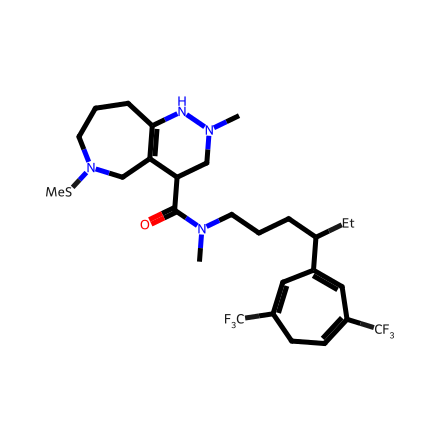 CCC(CCCN(C)C(=O)C1CN(C)NC2=C1CN(SC)CCC2)C1=CC(C(F)(F)F)=CCC(C(F)(F)F)=C1